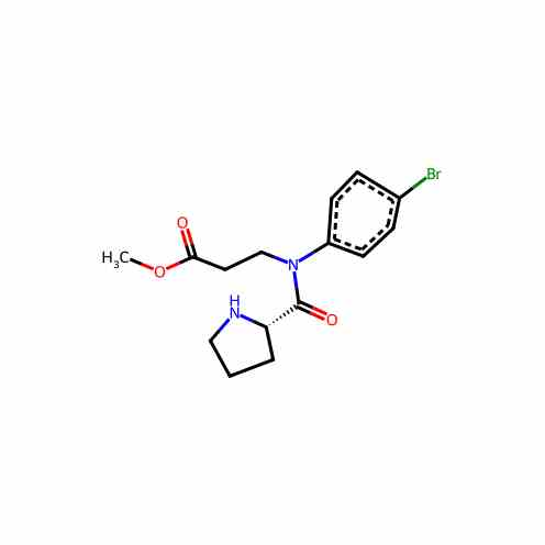 COC(=O)CCN(C(=O)[C@@H]1CCCN1)c1ccc(Br)cc1